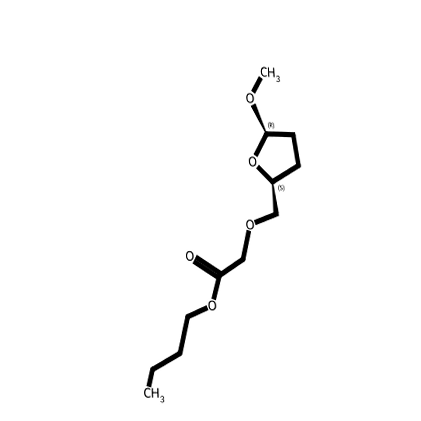 CCCCOC(=O)COC[C@@H]1CC[C@H](OC)O1